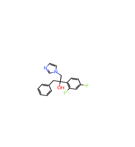 OC(Cc1ccccc1)(Cn1ccnc1)c1ccc(F)cc1F